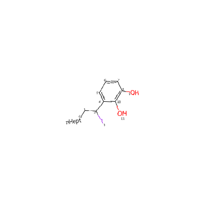 CCCCCCCCC(I)c1cccc(O)c1O